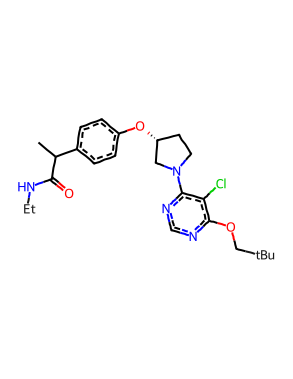 CCNC(=O)C(C)c1ccc(O[C@@H]2CCN(c3ncnc(OCC(C)(C)C)c3Cl)C2)cc1